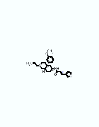 C=CCN1CC[C@@]2(c3cccc(OC)c3)C[C@H](NC(=O)/C=C/c3ccoc3)CC[C@@H]2C1